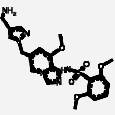 COc1cccc(OC)c1S(=O)(=O)Nc1ncn2cc(Cn3cc(CN)cn3)cc(OC)c12